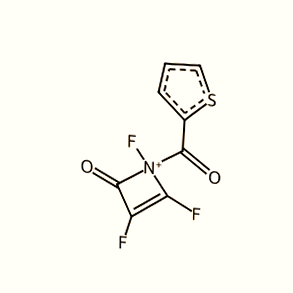 O=C1C(F)=C(F)[N+]1(F)C(=O)c1cccs1